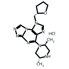 C[C@@H]1CN(c2nc3nncn3c3c2ncn3C[C@@H]2CCCO2)[C@@H](C)CN1.Cl